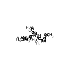 COC(=O)c1cc2c(-c3ccc(CNc4nc(-c5ccc(CNC(=O)OC(C)(C)C)c(C)c5)c5cc(C(=O)OC)cn5n4)c(C)c3)ncnn2c1